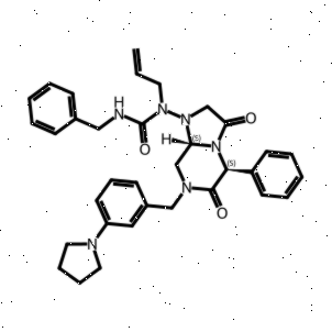 C=CCN(C(=O)NCc1ccccc1)N1CC(=O)N2[C@@H](c3ccccc3)C(=O)N(Cc3cccc(N4CCCC4)c3)C[C@@H]21